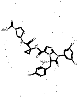 COC(=O)[C@H]1CC[C@@H](NC(=O)C2(NC(=O)c3cnc4n3[C@](C)(Cc3ccc(C#N)cc3)C(=O)N4c3cc(Cl)cc(Cl)c3)CC2)C1